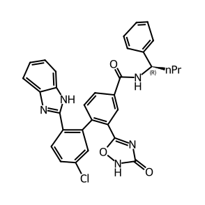 CCC[C@@H](NC(=O)c1ccc(-c2cc(Cl)ccc2-c2nc3ccccc3[nH]2)c(-c2nc(=O)[nH]o2)c1)c1ccccc1